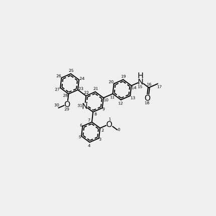 COc1ccccc1-c1cc(-c2ccc(NC(C)=O)cc2)cc(-c2ccccc2OC)n1